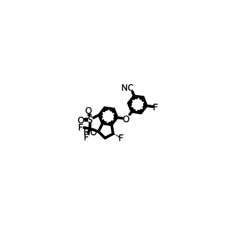 N#Cc1cc(F)cc(Oc2ccc3c4c2[C@H](F)C[C@@]4(O)C(F)(F)S3(=O)=O)c1